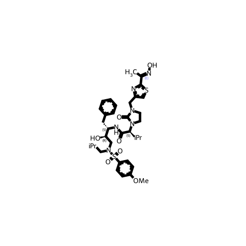 COc1ccc(S(=O)(=O)N(CC(C)C)C[C@@H](O)[C@H](Cc2ccccc2)NC(=O)[C@H](C(C)C)N2CCN(Cc3csc(/C(C)=N/O)n3)C2=O)cc1